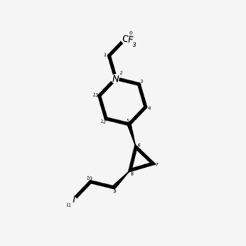 FC(F)(F)CN1CCC([C@H]2C[C@H]2CCI)CC1